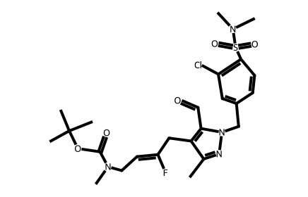 Cc1nn(Cc2ccc(S(=O)(=O)N(C)C)c(Cl)c2)c(C=O)c1C/C(F)=C/CN(C)C(=O)OC(C)(C)C